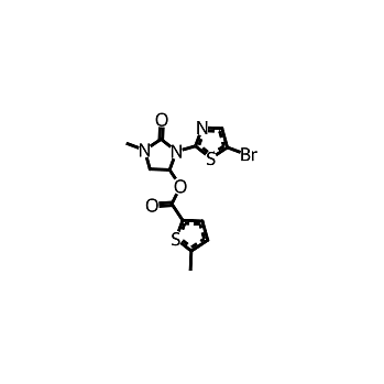 Cc1ccc(C(=O)OC2CN(C)C(=O)N2c2ncc(Br)s2)s1